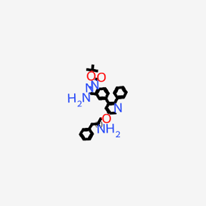 CC(C)(C)OC(=O)n1nc(N)c2cc(-c3cc(OC[C@H](N)Cc4ccccc4)cnc3-c3ccccc3)ccc21